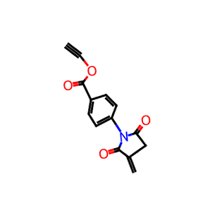 C#COC(=O)c1ccc(N2C(=O)CC(=C)C2=O)cc1